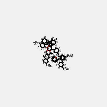 CC(C)(C)c1ccc2c(c1)B1c3ccc(-n4c5ccc(C(C)(C)C)cc5c5cc(C(C)(C)C)ccc54)cc3N(c3c(-c4cccc5c4c4ccccc4n5-c4ccccc4)cccc3-n3c4ccccc4c4ccccc43)c3cc(-n4c5ccc(C(C)(C)C)cc5c5cc(C(C)(C)C)ccc54)cc(c31)O2